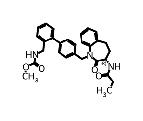 CCC(=O)N[C@@H]1CCc2ccccc2N(Cc2ccc(-c3ccccc3CNC(=O)OC)cc2)C1=O